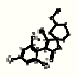 CCOC1CCCC2(C1)OC(=O)C(c1c(C)cc(C)cc1C)=C2O